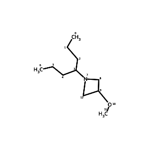 CCCC(CCC)N1CC(OC)C1